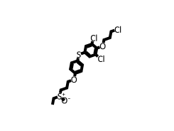 CC[S+]([O-])CCCOc1ccc(Sc2cc(Cl)c(OCCCCl)c(Cl)c2)cc1